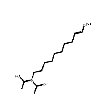 CCCCCCCCC=CCCCCCCCCN(C(C)O)C(C)O